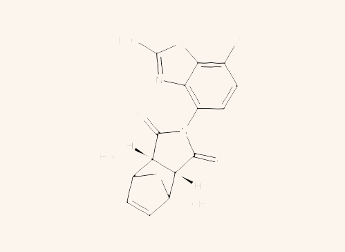 Cc1nc2c(N3C(=O)[C@@H]4[C@H](C3=O)[C@@]3(C)C=C[C@]4(C)O3)ccc(Br)c2o1